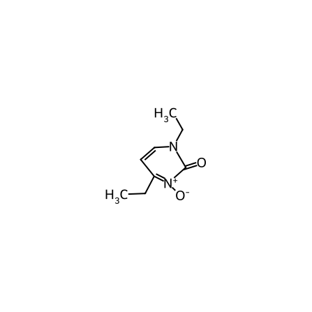 CCc1ccn(CC)c(=O)[n+]1[O-]